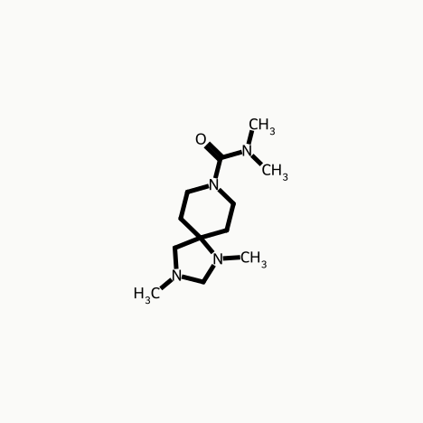 CN1CN(C)C2(CCN(C(=O)N(C)C)CC2)C1